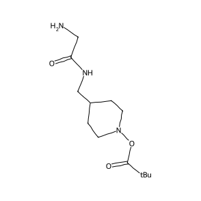 CC(C)(C)C(=O)ON1CCC(CNC(=O)CN)CC1